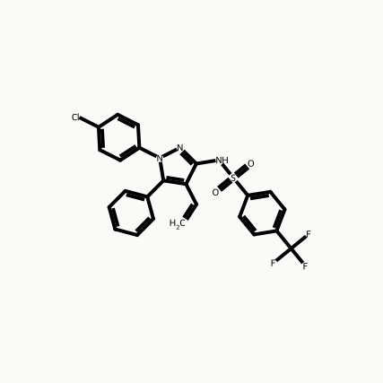 C=Cc1c(NS(=O)(=O)c2ccc(C(F)(F)F)cc2)nn(-c2ccc(Cl)cc2)c1-c1ccccc1